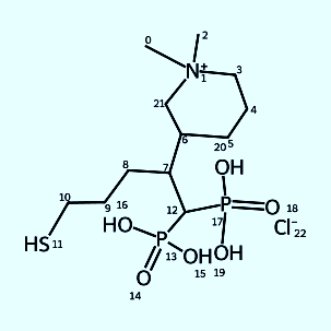 C[N+]1(C)CCCC(C(CCCS)C(P(=O)(O)O)P(=O)(O)O)C1.[Cl-]